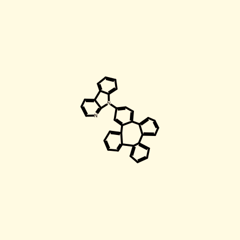 c1ccc2c(c1)-c1ccccc1-c1ccc(-n3c4ccccc4c4cccnc43)cc1-c1ccccc1-2